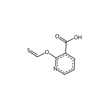 O=C(O)c1cccnc1OC=S